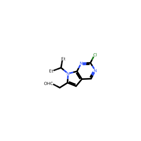 CCC(CC)n1c(CC=O)cc2cnc(Cl)nc21